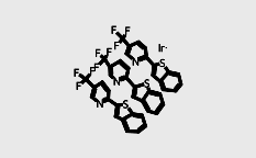 FC(F)(F)c1ccc(-c2cc3ccccc3s2)nc1.FC(F)(F)c1ccc(-c2cc3ccccc3s2)nc1.FC(F)(F)c1ccc(-c2cc3ccccc3s2)nc1.[Ir]